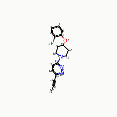 Fc1ccccc1OC1CCN(c2ccc(C#[C][K])nn2)CC1